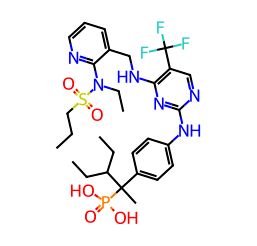 CCCS(=O)(=O)N(CC)c1ncccc1CNc1nc(Nc2ccc(C(C)(C(CC)CC)P(=O)(O)O)cc2)ncc1C(F)(F)F